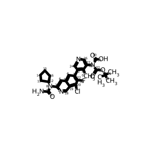 Cc1c(-c2cc3cc(N(C(N)=O)C4CCCC4)ncc3c(Cl)c2F)cncc1N(C(=O)O)C(=O)OC(C)(C)C